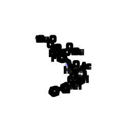 CC(=O)N1CC[C@H]2CC[C@@H](C(=O)Nc3ccc(-c4ccccc4)cc3)N2C(=O)[C@@H](NC(=O)/C=C/c2ccc(C(F)(F)P(=O)(OCOC(=O)C(C)(C)C)OCOC(=O)C(C)(C)C)cc2)C1